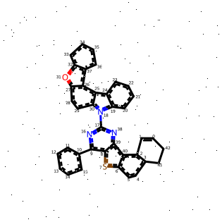 C1=Cc2c(ccc3sc4c(-c5ccccc5)nc(-n5c6ccccc6c6c7c(ccc65)oc5ccccc57)nc4c23)CC1